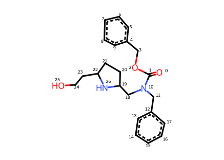 O=C(OCc1ccccc1)N(Cc1ccccc1)CC1CCC(CCO)N1